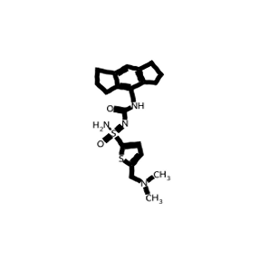 CN(C)Cc1ccc([S@@](N)(=O)=NC(=O)Nc2c3c(cc4c2CCC4)CCC3)s1